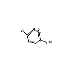 O=Cc1ccc(Cl)cc1.S